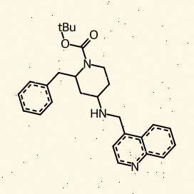 CC(C)(C)OC(=O)N1CCC(NCc2ccnc3ccccc23)CC1Cc1ccccc1